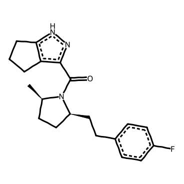 C[C@@H]1CC[C@H](CCc2ccc(F)cc2)N1C(=O)c1n[nH]c2c1CCC2